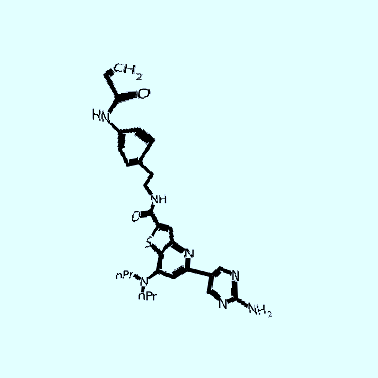 C=CC(=O)Nc1ccc(CCNC(=O)c2cc3nc(-c4cnc(N)nc4)cc(N(CCC)CCC)c3s2)cc1